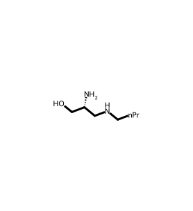 CCCCNC[C@@H](N)CO